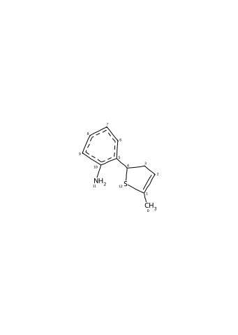 CC1=CCC(c2ccccc2N)S1